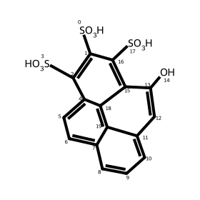 O=S(=O)(O)c1c(S(=O)(=O)O)c2ccc3cccc4cc(O)c(c1S(=O)(=O)O)c2c34